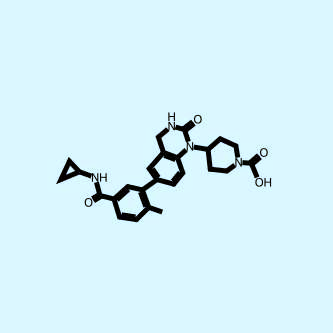 Cc1ccc(C(=O)NC2CC2)cc1-c1ccc2c(c1)CNC(=O)N2C1CCN(C(=O)O)CC1